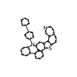 c1ccc(-c2ccc(N(c3ccc4sc5ccc6ccncc6c5c4c3)c3ccccc3-c3ccccc3)cc2)cc1